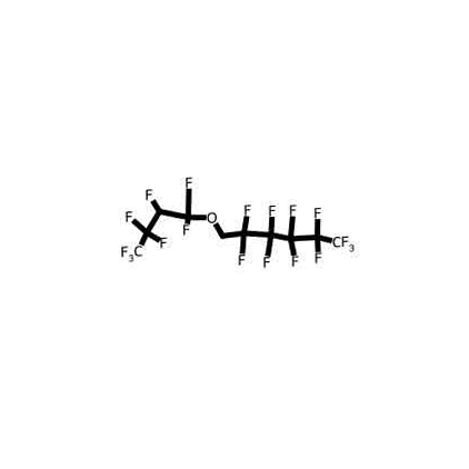 FC(C(F)(F)OCC(F)(F)C(F)(F)C(F)(F)C(F)(F)C(F)(F)F)C(F)(F)C(F)(F)F